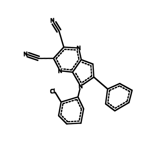 N#Cc1nc2cc(-c3ccccc3)n(-c3ccccc3Cl)c2nc1C#N